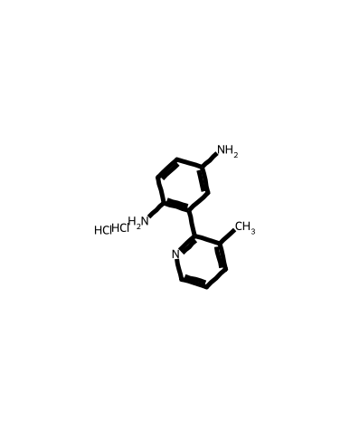 Cc1cccnc1-c1cc(N)ccc1N.Cl.Cl